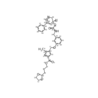 Cn1nc(C(=O)OCCCC2OCCO2)cc1COc1cccc(CNC(=O)O[C@H]2CN3CCC2C(c2ccccc2)C3)c1